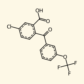 O=C(O)c1cc(Cl)ccc1C(=O)c1cccc(OC(F)(F)F)c1